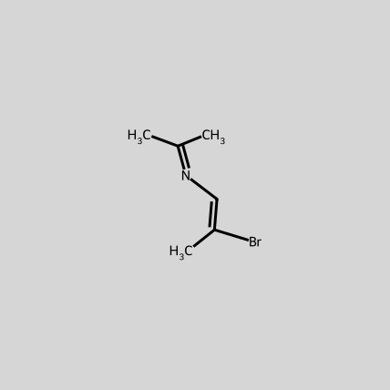 CC(C)=N/C=C(\C)Br